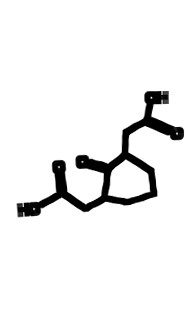 O=C(O)CC1CCCC(CC(=O)O)C1=O